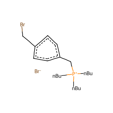 CCCC[P+](CCCC)(CCCC)Cc1ccc(CBr)cc1.[Br-]